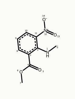 [CH2]Nc1c(C(=O)OC)cccc1[N+](=O)[O-]